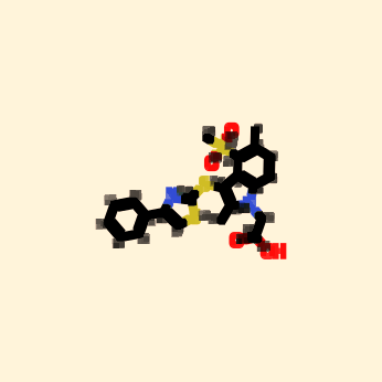 Cc1ccc2c(c(Sc3nc(-c4ccccc4)cs3)c(C)n2CC(=O)O)c1S(C)(=O)=O